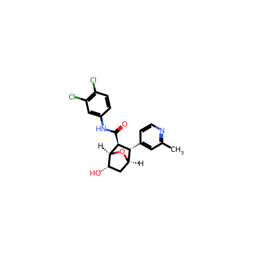 Cc1cc([C@H]2[C@H](C(=O)Nc3ccc(Cl)c(Cl)c3)[C@H]3O[C@@H]2C[C@@H]3O)ccn1